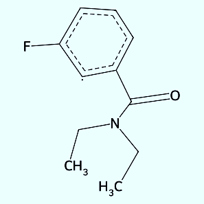 CCN(CC)C(=O)c1[c]c(F)ccc1